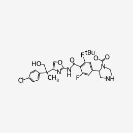 CC(C)(C)OC(=O)N1CCNCC1c1cc(F)c(C(=O)Nc2nc(C(C)(CO)c3ccc(Cl)cc3)co2)c(F)c1